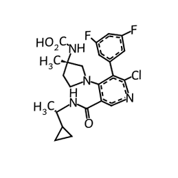 C[C@H](NC(=O)c1cnc(Cl)c(-c2cc(F)cc(F)c2)c1N1CC[C@](C)(NC(=O)O)C1)C1CC1